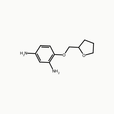 Nc1ccc(OCC2CCCO2)c(N)c1